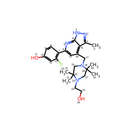 Cc1n[nH]c2nc(-c3ccc(O)cc3F)cc(CN3CC(C)(C)N(CCO)CC3(C)C)c12